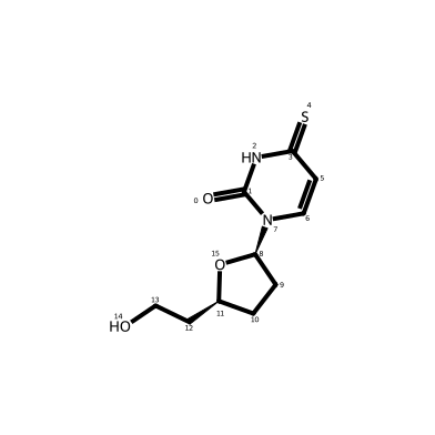 O=c1[nH]c(=S)ccn1[C@H]1CC[C@@H](CCO)O1